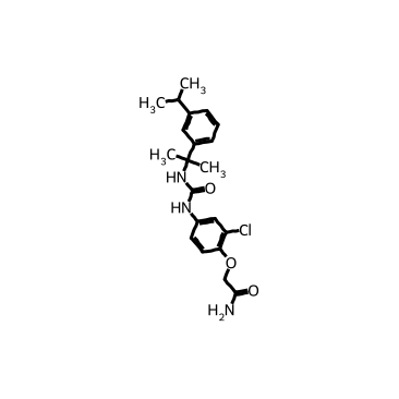 CC(C)c1cccc(C(C)(C)NC(=O)Nc2ccc(OCC(N)=O)c(Cl)c2)c1